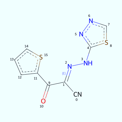 N#C/C(=N\Nc1nncs1)C(=O)c1cccs1